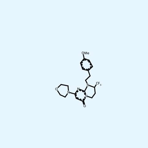 COc1ccc(CCN2c3nc(N4CCOCC4)cc(=O)n3CCC2C(F)(F)F)cc1